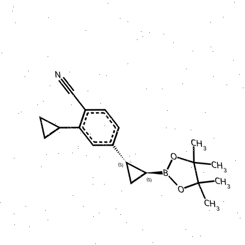 CC1(C)OB([C@H]2C[C@@H]2c2ccc(C#N)c(C3CC3)c2)OC1(C)C